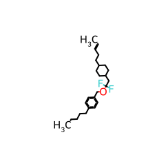 CC=CCCC1CCC(CC(F)(F)OCc2ccc(CCCCC)cc2)CC1